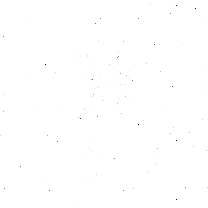 CC(C)C[C@H](NC(=O)[C@@H]1CCCN1)C(=O)N[C@@H](C)C(=O)N[C@@H](CC(N)=O)C(=O)N[C@@H](C)C(=O)N[C@H](C(=O)N[C@@H](CCCCN)C(=O)O)C(C)C